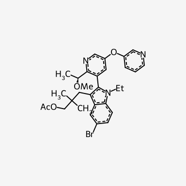 CCn1c(-c2cc(Oc3cccnc3)cnc2[C@H](C)OC)c(CC(C)(C)COC(C)=O)c2cc(Br)ccc21